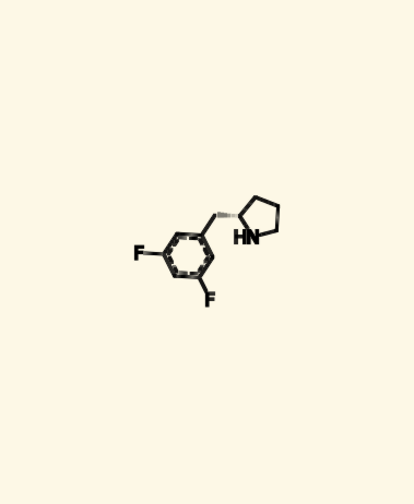 Fc1cc(F)cc(C[C@@H]2CCCN2)c1